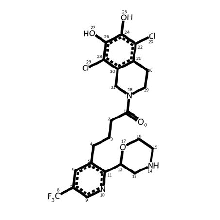 O=C(CCCc1cc(C(F)(F)F)cnc1C1CNCCO1)N1CCc2c(Cl)c(O)c(O)c(Cl)c2C1